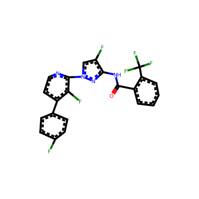 O=C(Nc1nn(-c2nccc(-c3ccc(F)cc3)c2F)cc1F)c1ccccc1C(F)(F)F